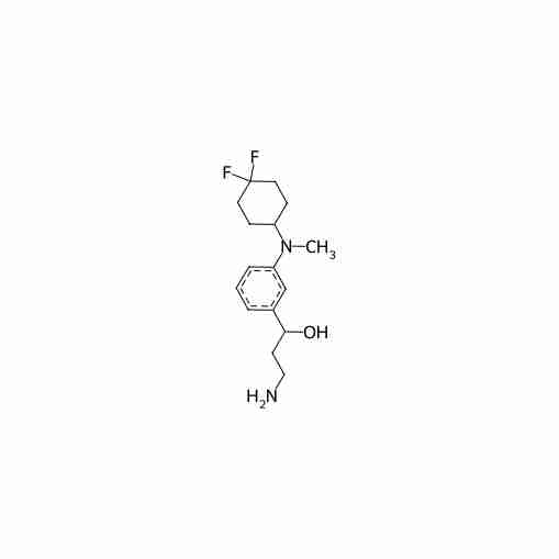 CN(c1cccc(C(O)CCN)c1)C1CCC(F)(F)CC1